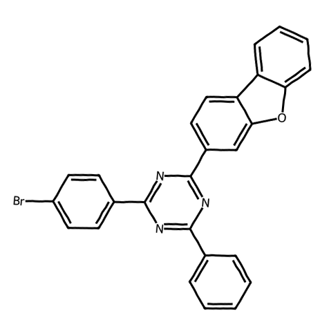 Brc1ccc(-c2nc(-c3ccccc3)nc(-c3ccc4c(c3)oc3ccccc34)n2)cc1